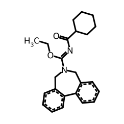 CCOC(=NC(=O)C1CCCCC1)N1Cc2ccccc2-c2ccccc2C1